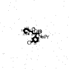 CCCN1C(=O)C(O)(CC(=O)c2ccccn2)c2cc(Cl)ccc21